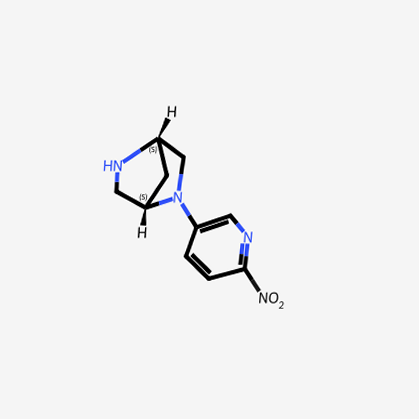 O=[N+]([O-])c1ccc(N2C[C@@H]3C[C@H]2CN3)cn1